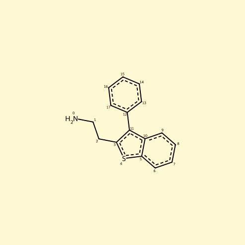 NCCc1sc2ccccc2c1-c1ccccc1